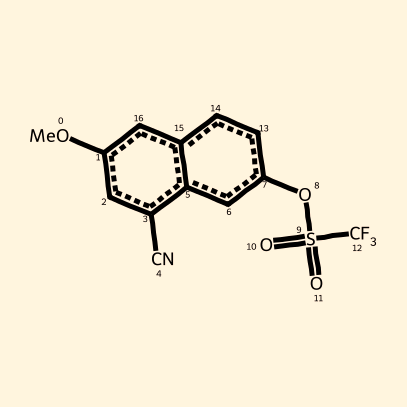 COc1cc(C#N)c2cc(OS(=O)(=O)C(F)(F)F)ccc2c1